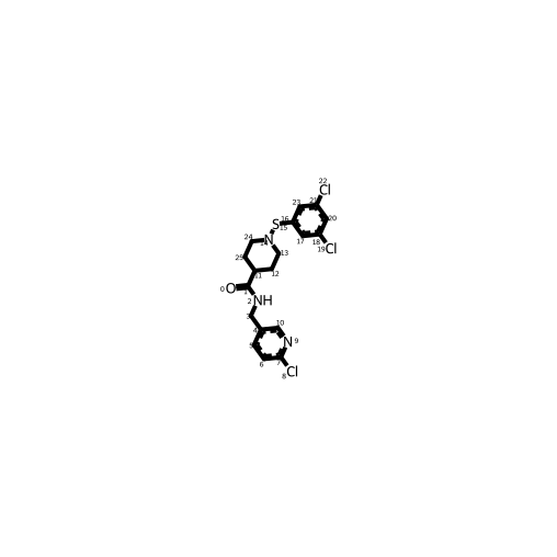 O=C(NCc1ccc(Cl)nc1)C1CCN(Sc2cc(Cl)cc(Cl)c2)CC1